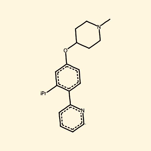 CC(C)c1cc(OC2CCN(C)CC2)ccc1-c1ccc[c]n1